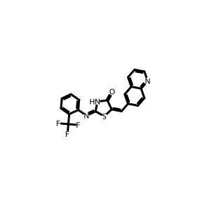 O=C1NC(=Nc2ccccc2C(F)(F)F)SC1=Cc1ccc2ncccc2c1